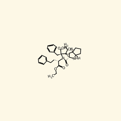 CCOC(=O)[C@H](CCc1ccccc1)N(C(=O)[C@@H]1C[C@@H]2CCC[C@@H]2N1)[C@](Cc1ccccc1)(C(=O)O)C(=O)C(C)N